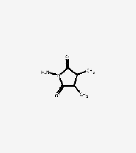 CC1C(=O)N(N)C(=O)C1C